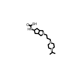 CC(C)N1CCN(CCCN2CC3CC(NC(=O)S)CC3C2)CC1